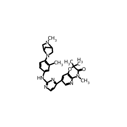 Cc1cc(Nc2nccc(-c3cnc4c(c3)OC(C)(C)C(=O)N4C)n2)ccc1N1CC2CC1CN2C